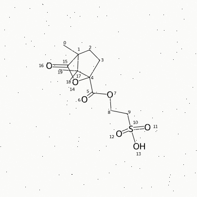 CC12CCC(C(=O)OCCS(=O)(=O)O)(OC1=O)C2(C)C